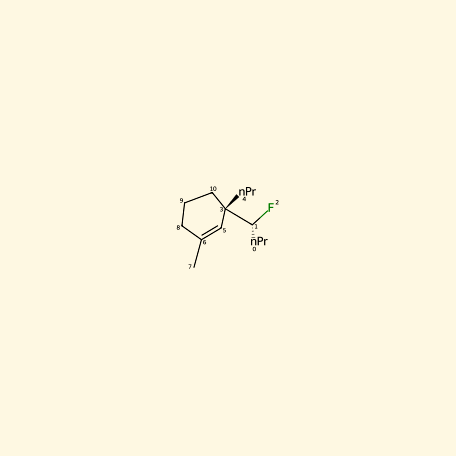 CCC[C@@H](F)[C@]1(CCC)C=C(C)CCC1